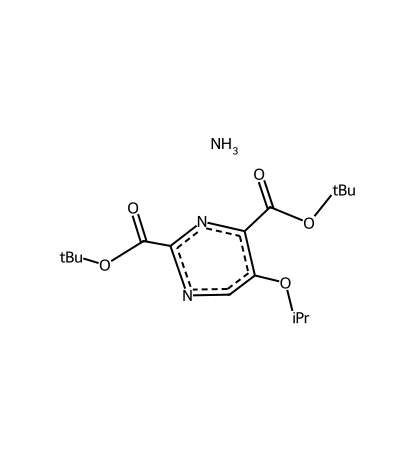 CC(C)Oc1cnc(C(=O)OC(C)(C)C)nc1C(=O)OC(C)(C)C.N